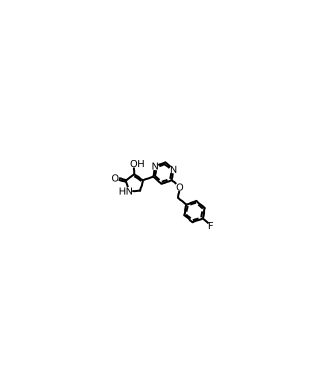 O=C1NCC(c2cc(OCc3ccc(F)cc3)ncn2)=C1O